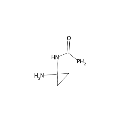 NC1(NC(=O)P)CC1